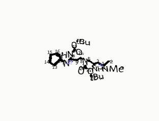 CN/C(C)=C\C(=N)CN(CC/C(=N/c1ccccc1)NC(=O)OC(C)(C)C)C(=O)OC(C)(C)C